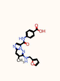 Cc1cc2ncc(C(=O)Nc3ccc(C(=O)O)cc3)n2nc1NCc1ccco1